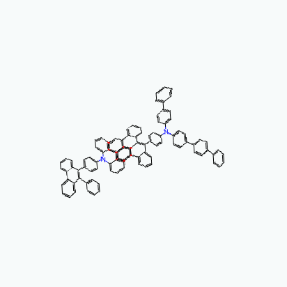 c1ccc(-c2ccc(-c3ccc(N(c4ccc(-c5ccccc5)cc4)c4ccc(-c5c(-c6ccccc6-c6cccc(-c7ccccc7N(c7ccc(-c8c(-c9ccccc9)c9ccccc9c9ccccc89)cc7)c7ccccc7-c7ccccc7)c6)c6ccccc6c6ccccc56)cc4)cc3)cc2)cc1